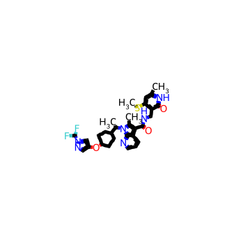 CSc1cc(C)[nH]c(=O)c1CNC(=O)c1c(C)n(C(C)C2CCC(Oc3cnn(C(F)F)c3)CC2)c2ncccc12